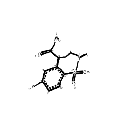 CN1CC(C(N)=O)c2cc(F)ccc2S1(=O)=O